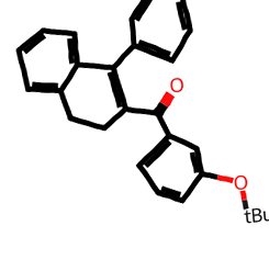 CC(C)(C)Oc1cccc(C(=O)C2=C(c3ccccc3)c3ccccc3CC2)c1